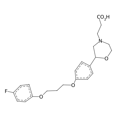 O=C(O)CCN1CCOC(c2ccc(OCCCOc3ccc(F)cc3)cc2)C1